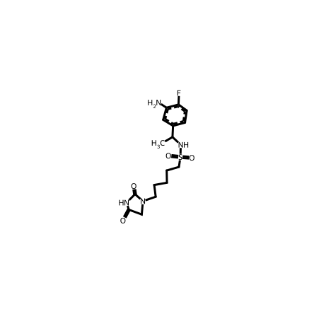 CC(NS(=O)(=O)CCCCCN1CC(=O)NC1=O)c1ccc(F)c(N)c1